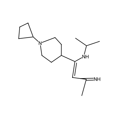 CC(=N)/C=C(\NC(C)C)C1CCN(C2CCC2)CC1